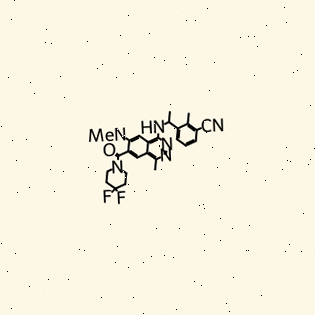 CNc1cc2c(NC(C)c3cccc(C#N)c3C)nnc(C)c2cc1C(=O)N1CCC(F)(F)CC1